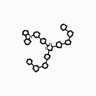 c1ccc(-c2cccc(-c3cccc(-c4ccc(-c5cc(-c6ccc(-c7cccc(-c8cccc(-c9ccccc9)c8)c7)cc6)nc(-c6ccc(-c7cccc(-n8c9ccccc9c9ccccc98)c7)cc6)n5)cc4)c3)c2)cc1